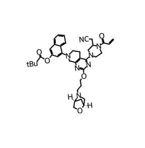 C=CC(=O)N1CCN(c2nc(OCCCN3C[C@@H]4C[C@H]3CO4)nc3c2CCN(c2cc(OC(=O)C(C)(C)C)cc4ccccc24)C3)CC1CC#N